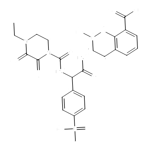 CCN1CCN(C(=O)NC(C(=O)N[C@H]2Cc3cccc(C(=O)O)c3OB2O)c2ccc(P(C)(=O)O)cc2)C(=O)C1=O